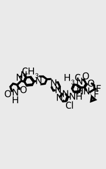 Cn1nc(C2CCC(=O)NC2=O)c2ccc(N3CCC(CN4CCN(c5ncc(Cl)c(Nc6ccc7c(c6)c6c(c(=O)n7C)OCC(F)(F)[C@H](C7CC7)N6)n5)CC4)CC3)cc21